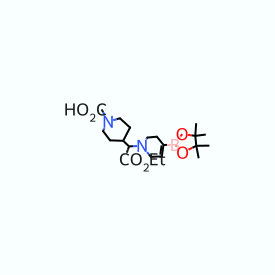 CCOC(=O)C(C1CCN(C(=O)O)CC1)N1CC=C(B2OC(C)(C)C(C)(C)O2)CC1